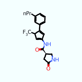 CCCc1cccc(C2=CC(NC(=O)[C@H]3CNC(=O)C3)=CC2C(F)(F)F)c1